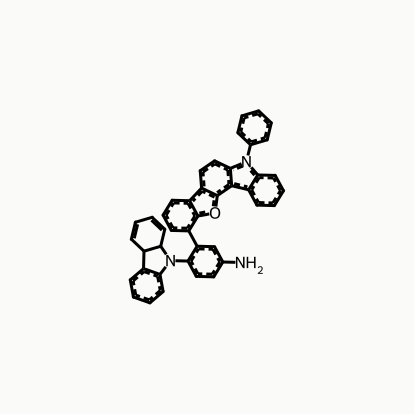 Nc1ccc(N2c3ccccc3C3C=CC=CC32)c(-c2cccc3c2oc2c3ccc3c2c2ccccc2n3-c2ccccc2)c1